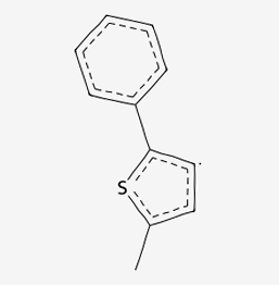 Cc1c[c]c(-c2ccccc2)s1